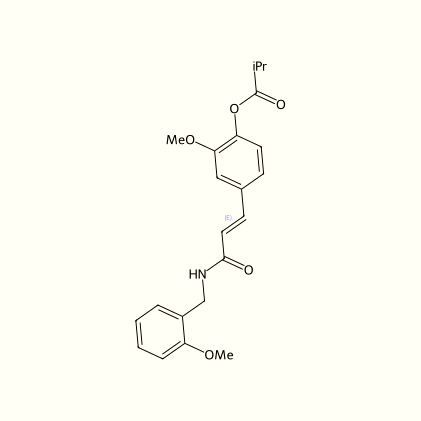 COc1ccccc1CNC(=O)/C=C/c1ccc(OC(=O)C(C)C)c(OC)c1